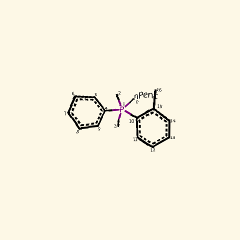 CCCCCP(C)(C)(c1ccccc1)c1ccccc1C